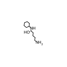 NCCCC[C@H](O)NC1CCCCC1